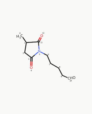 CC1CC(=O)N(CCCCC=O)C1=O